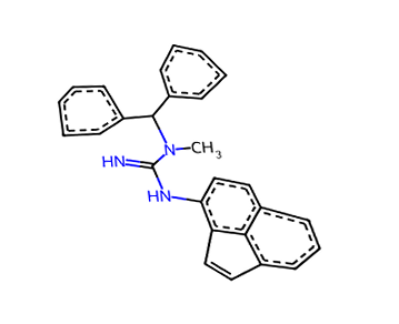 CN(C(=N)Nc1ccc2cccc3c2c1C=C3)C(c1ccccc1)c1ccccc1